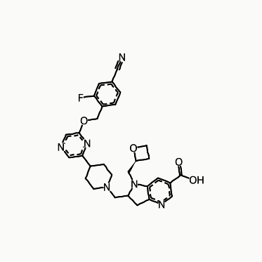 N#Cc1ccc(COc2cncc(C3CCN(CC4Cc5ncc(C(=O)O)cc5N4C[C@@H]4CCO4)CC3)n2)c(F)c1